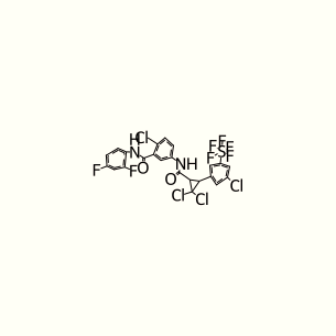 O=C(Nc1ccc(F)cc1F)c1cc(NC(=O)C2C(c3cc(Cl)cc(S(F)(F)(F)(F)F)c3)C2(Cl)Cl)ccc1Cl